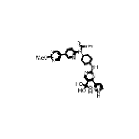 CCCC(=O)N(c1ccc(-c2cnc(OC)nc2)cn1)[C@H]1CC[C@H](Nc2ncc(C(O)(O)O)c(-c3cc[nH]n3)n2)CC1